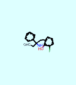 NC(CC=O)(Cc1cccc(F)c1O)c1ccccc1